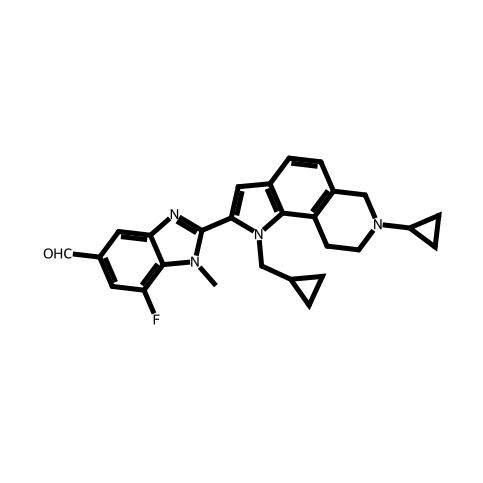 Cn1c(-c2cc3ccc4c(c3n2CC2CC2)CCN(C2CC2)C4)nc2cc(C=O)cc(F)c21